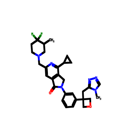 CC1CN(Cc2cc3c(c(C4CC4)n2)CN(c2cccc(C4(Cc5nncn5C)COC4)c2)C3=O)CCC1(F)F